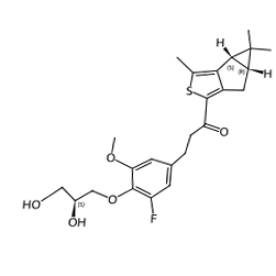 COc1cc(CCC(=O)c2sc(C)c3c2C[C@@H]2[C@H]3C2(C)C)cc(F)c1OC[C@@H](O)CO